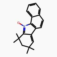 CC1(C)C=C2C(=[N+]([O-])c3c2ccc2ccccc32)C(C)(C)C1